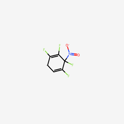 O=[N+]([O-])C1(F)C(F)=C[CH]C(F)=C1F